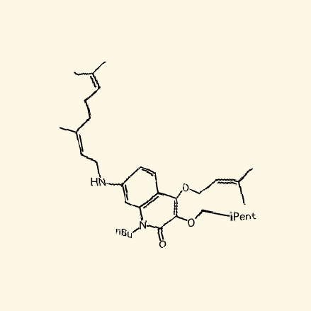 CCCCn1c(=O)c(OCC(C)CCC)c(OCC=C(C)C)c2ccc(NCC=C(C)CCC=C(C)C)cc21